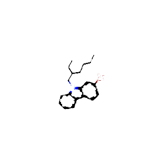 CCCCC(CC)Cn1c2ccccc2c2ccc(Br)cc21